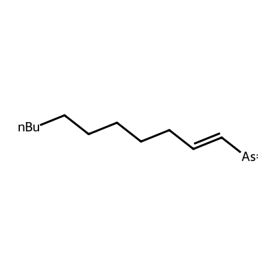 CCCCCCCCCC=C[As]